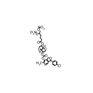 Cc1ncc2c(c1OC(=O)O[C@@H]1CO[C@H]3[C@@H]1OC[C@@H]3OC(=O)CCCC(CO[N+](=O)[O-])O[N+](=O)[O-])CO[C@H]2c1ccc(Cl)cc1